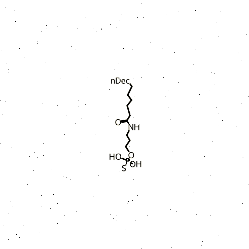 CCCCCCCCCCCCCCCC(=O)NCCCOP(O)(O)=S